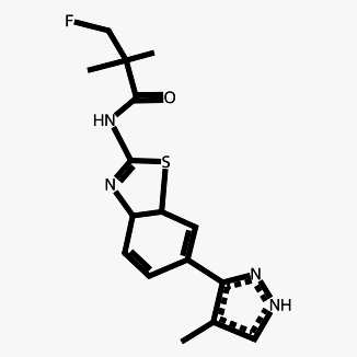 Cc1c[nH]nc1C1=CC2SC(NC(=O)C(C)(C)CF)=NC2C=C1